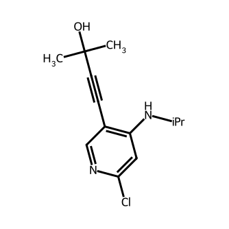 CC(C)Nc1cc(Cl)ncc1C#CC(C)(C)O